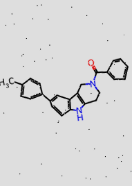 Cc1ccc(-c2ccc3[nH]c4c(c3c2)CN(C(=O)c2ccccc2)CC4)cc1